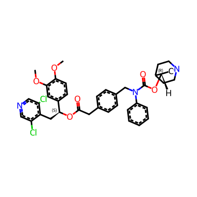 COc1ccc([C@H](Cc2c(Cl)cncc2Cl)OC(=O)Cc2ccc(CN(C(=O)O[C@H]3CN4CCC3CC4)c3ccccc3)cc2)cc1OC